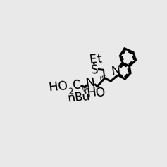 CCCC[C@H](NC(=O)[C@@H](CSCC)Cc1ccc2ccccc2n1)C(=O)O